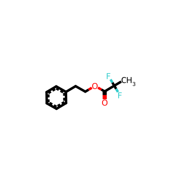 CC(F)(F)C(=O)OCCc1ccccc1